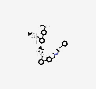 CC1(S(=O)(=O)NC(=O)c2ccccc2-c2ccc3c(c2)OC/C(=C\c2coc(-c4ccccc4)n2)C3=O)CC1.CC1(S(=O)(=O)NC(=O)c2ccccc2-c2ccc3c(c2)OCCC3=O)CC1